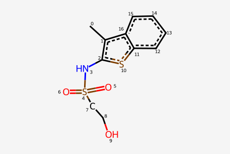 Cc1c(NS(=O)(=O)CCO)sc2ccccc12